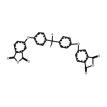 O=C1OC(=O)c2cc(Oc3ccc(C(F)(F)c4ccc(Oc5ccc6c(c5)C(=O)OC6=O)cc4)cc3)ccc21